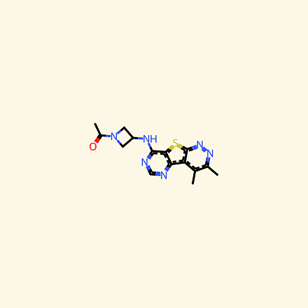 CC(=O)N1CC(Nc2ncnc3c2sc2nnc(C)c(C)c23)C1